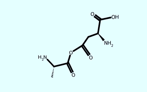 C[C@H](N)C(=O)OC(=O)C[C@H](N)C(=O)O